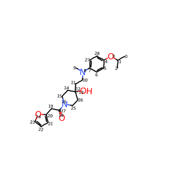 CC(C)Oc1ccc(N(C)CCC2(O)CCN(C(=O)Cc3ccco3)CC2)cc1